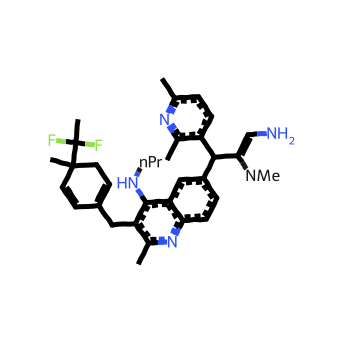 CCCNc1c(CC2=CCC(C)(C(C)(F)F)C=C2)c(C)nc2ccc(C(/C(=C/N)NC)c3ccc(C)nc3C)cc12